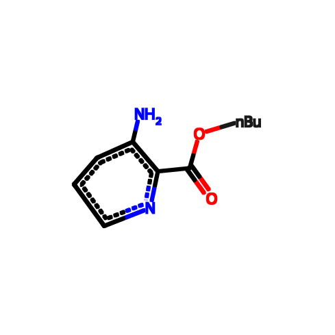 CCCCOC(=O)c1ncccc1N